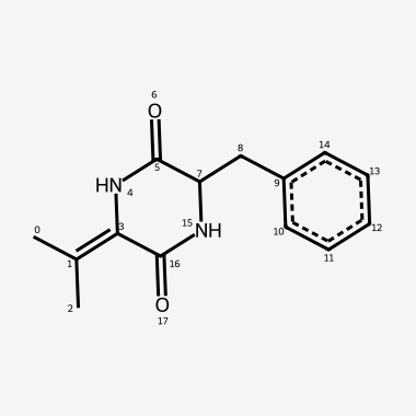 CC(C)=C1NC(=O)C(Cc2ccccc2)NC1=O